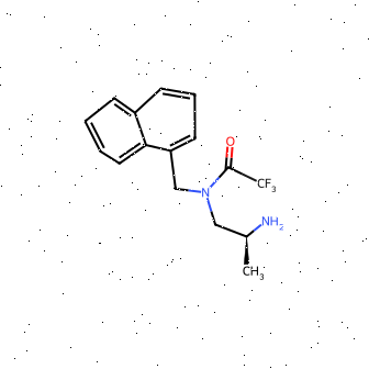 C[C@H](N)CN(Cc1cccc2ccccc12)C(=O)C(F)(F)F